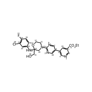 CCOC(=O)c1cncc(-c2cnc(N3CCOC(CO)(Nc4ccc(F)c(Cl)c4)C3)nc2)c1